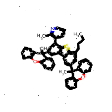 CCCCc1cc(C2(C)c3ccccc3Oc3ccccc32)cc2c1sc1c(-c3cccnc3C)cc(C3(C)c4ccccc4Oc4ccccc43)cc12